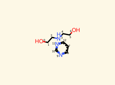 OCCNCCO.c1cncnc1